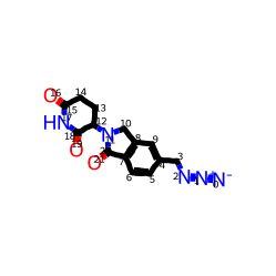 [N-]=[N+]=NCc1ccc2c(c1)CN(C1CCC(=O)NC1=O)C2=O